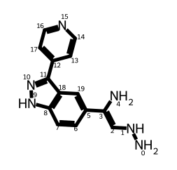 NN/C=C(\N)c1ccc2[nH]nc(-c3ccncc3)c2c1